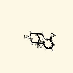 O=c1cccc2n1CC1CNCC2(F)C1